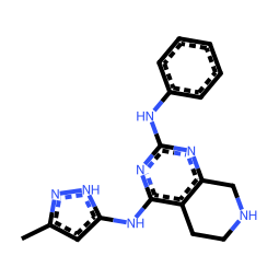 Cc1cc(Nc2nc(Nc3ccccc3)nc3c2CCNC3)[nH]n1